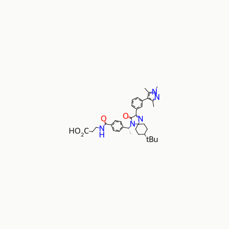 Cc1nn(C)c(C)c1-c1cccc(C2=NC3(CCC(C(C)(C)C)CC3)N([C@H](C)c3ccc(C(=O)NCCC(=O)O)cc3)C2=O)c1